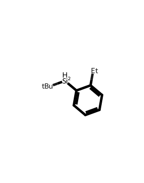 CCc1ccccc1[SiH2]C(C)(C)C